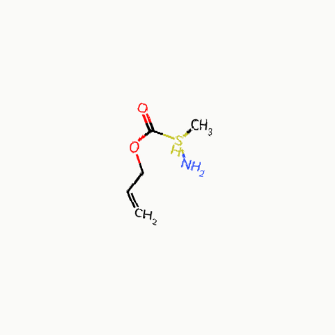 C=CCOC(=O)[SH](C)N